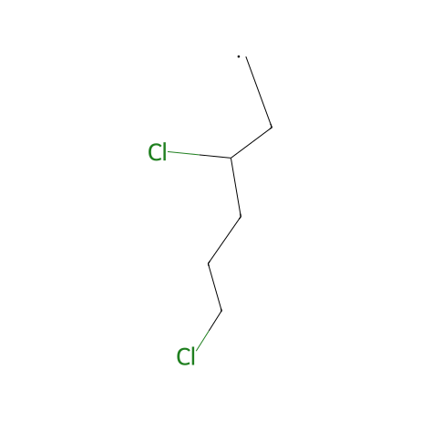 [CH2]CC(Cl)CCCCl